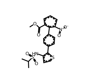 COC(=O)c1cccc([N+](=O)[O-])c1-c1ccc(-c2sccc2NS(=O)(=O)C(C)C)cc1